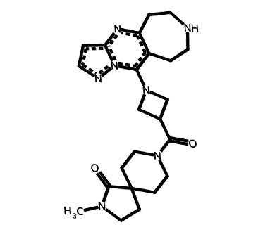 CN1CCC2(CCN(C(=O)C3CN(c4c5c(nc6ccnn46)CCNCC5)C3)CC2)C1=O